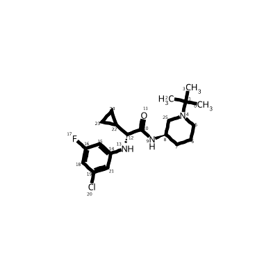 CC(C)(C)N1CCC[C@@H](NC(=O)[C@H](Nc2cc(F)cc(Cl)c2)C2CC2)C1